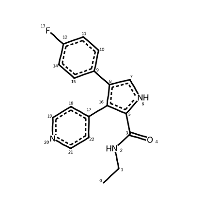 CCNC(=O)c1[nH]cc(-c2ccc(F)cc2)c1-c1ccncc1